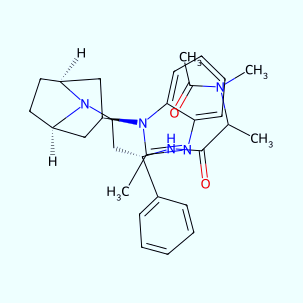 CC(=O)N(C)C(C)C(=O)N[C@@H](CCN1[C@@H]2CC[C@H]1C[C@@H](n1c(C)nc3ccccc31)C2)c1ccccc1